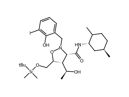 CC1CC[C@@H](C)C[C@@H]1NC(=O)[C@@H]1[C@H]([C@H](C)O)C(CO[Si](C)(C)C(C)(C)C)ON1Cc1cccc(I)c1O